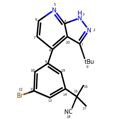 CC(C)(C)c1n[nH]c2nccc(-c3cc(Br)cc(C(C)(C)C#N)c3)c12